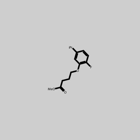 COC(=O)CCCOc1cc(C(C)C)ccc1F